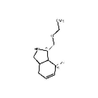 COCOC[C@H]1NCC2CC=C[C@@H](I)C21